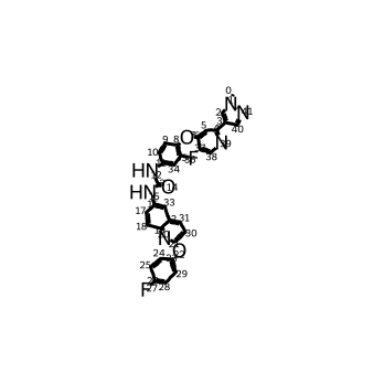 Cn1cc(-c2cc(Oc3ccc(NC(=O)Nc4ccc5nc(Oc6ccc(F)cc6)ccc5c4)cc3F)ccn2)cn1